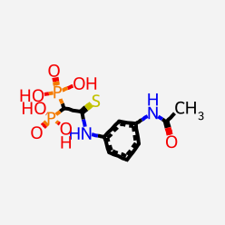 CC(=O)Nc1cccc(NC(=S)C(P(=O)(O)O)P(=O)(O)O)c1